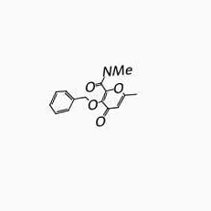 CNC(=O)c1oc(C)cc(=O)c1OCc1ccccc1